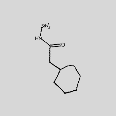 O=C(CC1CCCCC1)N[SiH3]